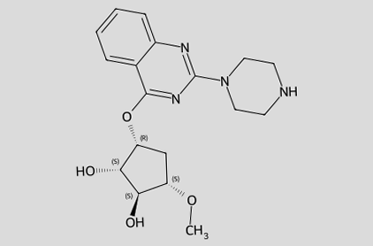 CO[C@H]1C[C@@H](Oc2nc(N3CCNCC3)nc3ccccc23)[C@@H](O)[C@@H]1O